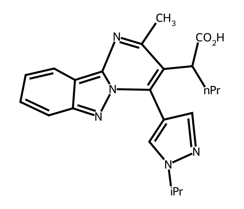 CCCC(C(=O)O)c1c(C)nc2c3ccccc3nn2c1-c1cnn(C(C)C)c1